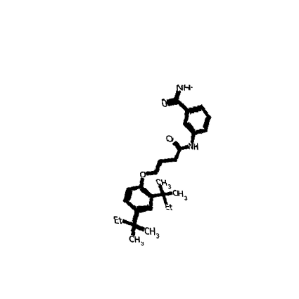 CCC(C)(C)c1ccc(OCCCC(=O)Nc2cccc(C([NH])=O)c2)c(C(C)(C)CC)c1